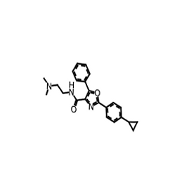 CN(C)CCNC(=O)c1nc(-c2ccc(C3CC3)cc2)oc1-c1ccccc1